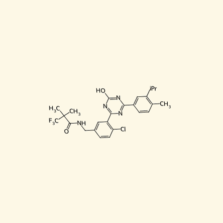 Cc1ccc(-c2nc(O)nc(-c3cc(CNC(=O)C(C)(C)C(F)(F)F)ccc3Cl)n2)cc1C(C)C